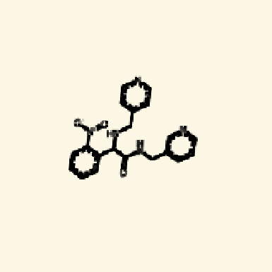 O=C(NCc1cccnc1)C(NCc1ccncc1)c1ccccc1[N+](=O)[O-]